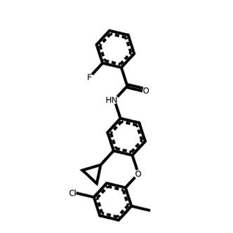 Cc1ccc(Cl)cc1Oc1ccc(NC(=O)c2ccccc2F)cc1C1CC1